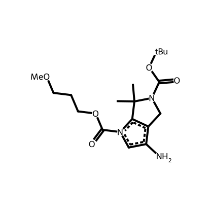 COCCCOC(=O)n1cc(N)c2c1C(C)(C)N(C(=O)OC(C)(C)C)C2